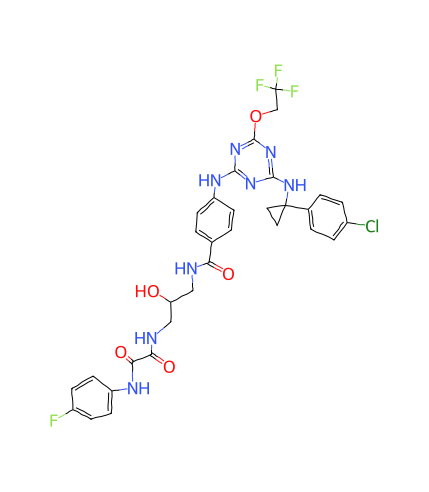 O=C(NCC(O)CNC(=O)c1ccc(Nc2nc(NC3(c4ccc(Cl)cc4)CC3)nc(OCC(F)(F)F)n2)cc1)C(=O)Nc1ccc(F)cc1